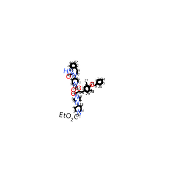 CCOC(=O)CN1CCC(N2CCN(C(=O)C(Cc3cc(C)c(OCc4ccccc4)c(C)c3)OC(=O)N3CCC(N4CCc5ccccc5NC4=O)CC3)CC2)CC1